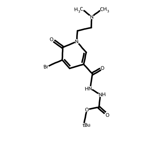 CN(C)CCn1cc(C(=O)NNC(=O)OC(C)(C)C)cc(Br)c1=O